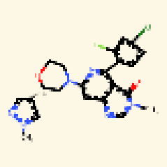 Cn1cc([C@H]2CN(c3cc4ncn(C)c(=O)c4c(-c4ccc(Cl)cc4F)n3)CCO2)cn1